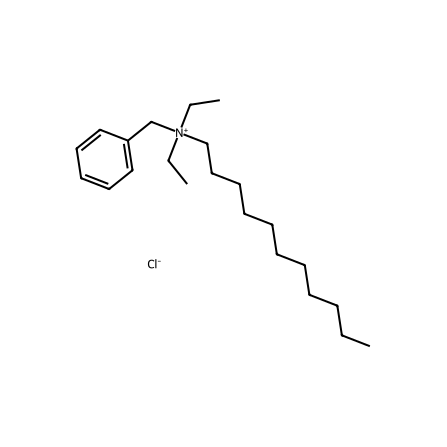 CCCCCCCCCCC[N+](CC)(CC)Cc1ccccc1.[Cl-]